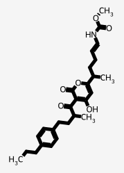 CCCc1ccc(CCC(C)C(=O)c2c(O)cc(C(C)CC/C=C/NC(=O)OC)oc2=O)cc1